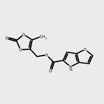 Cc1oc(=O)oc1COC(=O)c1cc2occc2[nH]1